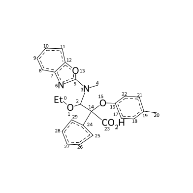 CCOC(N(C)c1nc2ccccc2o1)C(Oc1ccc(C)cc1)(C(=O)O)c1ccccc1